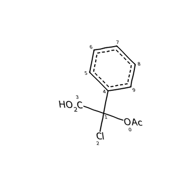 CC(=O)OC(Cl)(C(=O)O)c1ccccc1